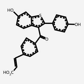 O=C(O)C=Cc1ccc(C(=O)c2c(-c3ccc(O)cc3)sc3cc(O)ccc23)cc1